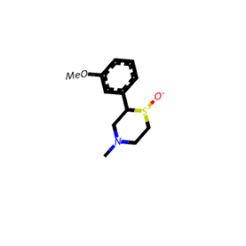 COc1cccc(C2CN(C)CC[S+]2[O-])c1